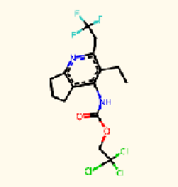 CCc1c(CC(F)(F)F)nc2c(c1NC(=O)OCC(Cl)(Cl)Cl)CCC2